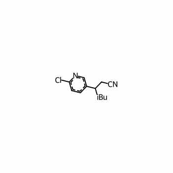 CCC(C)C(CC#N)c1ccc(Cl)nc1